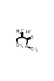 C=C(CC)C(=O)OC.Cl